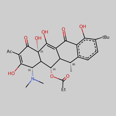 CCC(=O)O[C@H]1C2C(=C(O)[C@]3(O)C(=O)C(C(C)=O)=C(O)[C@@H](N(C)C)C13)C(=O)c1c(ccc(C(C)(C)C)c1O)[C@@H]2C